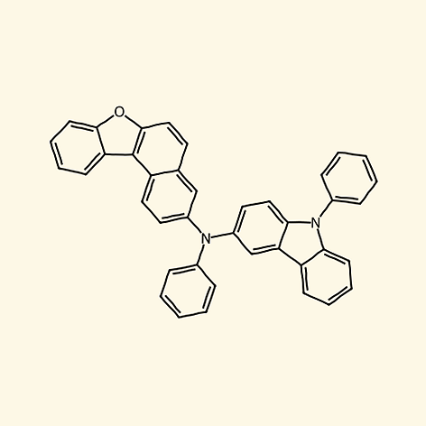 c1ccc(N(c2ccc3c(ccc4oc5ccccc5c43)c2)c2ccc3c(c2)c2ccccc2n3-c2ccccc2)cc1